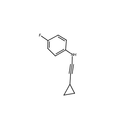 Fc1ccc(NC#CC2CC2)cc1